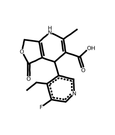 CCc1c(F)cncc1C1C(C(=O)O)=C(C)NC2=C1C(=O)OC2